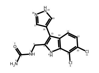 NC(=O)NCc1[nH]c2c(Cl)c(Cl)ccc2c1-c1cn[nH]c1